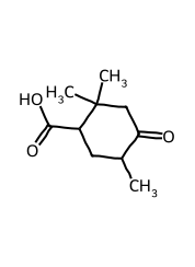 CC1CC(C(=O)O)C(C)(C)CC1=O